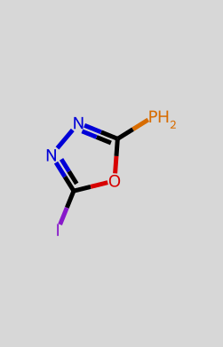 Pc1nnc(I)o1